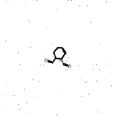 O=CC1CCC=C[C@H]1C=O